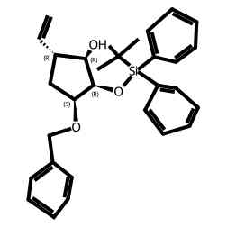 C=C[C@H]1C[C@H](OCc2ccccc2)[C@H](O[Si](c2ccccc2)(c2ccccc2)C(C)(C)C)[C@@H]1O